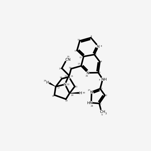 Cc1cc(Nc2cc3ncccc3c(CN3C[C@H]4CC[C@@H](C3)N4CCC#N)n2)n[nH]1